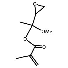 C=C(C)C(=O)OC(C)(OC)C1CO1